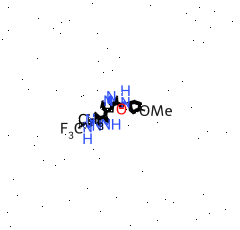 CO[C@H]1CC[C@H](NC(=O)c2cnn3ccc(-c4c[nH]c5nc(N[C@H](C)C(F)(F)F)ncc45)cc23)CC1